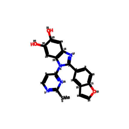 CSc1nccc(-n2c(-c3ccc4occc4c3)nc3cc(O)c(O)cc32)n1